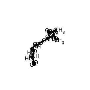 COC(=O)CN1CCN(CC(=O)NCCOCCOCCOCC(=O)NCc2cccc(C(=O)NCC(=O)N[C@@H](CCCCN3C(=O)C=CC3=O)C(=O)O)c2)CCN2CC(=O)OC2(C)CN(CC(=O)OC)CC1